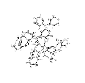 c1ccc(N(c2ccccc2)c2ccc3c(c2)N(c2cccc4c2oc2ccccc24)c2cc4oc5ccccc5c4c4c2B3n2c3cc5ccccc5cc3c3cccc-4c32)cc1